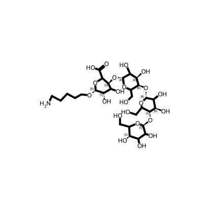 NCCCCCO[C@@H]1OC(C(=O)O)[C@@H](O[C@H]2OC(CO)[C@H](O[C@H]3OC(CO)[C@@H](O[C@@H]4OC(CO)[C@@H](O)C(O)C4O)[C@H](O)C3O)[C@H](O)C2O)C(O)[C@@H]1O